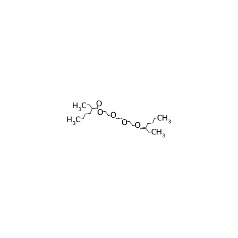 CCCC/C(=C\OCCOCCOCCOC(=O)C(CC)CCCC)CC